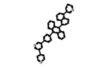 c1cncc(-c2cccc3c(-c4c5ccccc5c(-c5ccc(-c6cncc(-c7ccncc7)c6)cc5)c5ccccc45)cccc23)c1